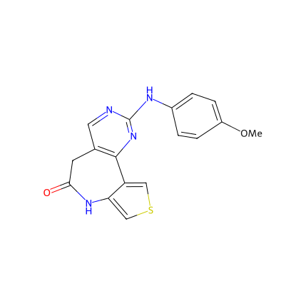 COc1ccc(Nc2ncc3c(n2)-c2cscc2NC(=O)C3)cc1